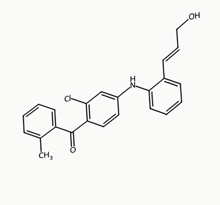 Cc1ccccc1C(=O)c1ccc(Nc2ccccc2C=CCO)cc1Cl